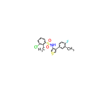 Cc1cc(-c2cscc2NS(=O)(=O)c2cccc(Cl)c2C)ccc1F